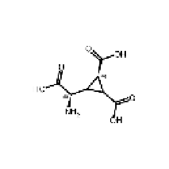 N[C@@H](C(=O)O)C1C(C(=O)O)[C@@H]1C(=O)O